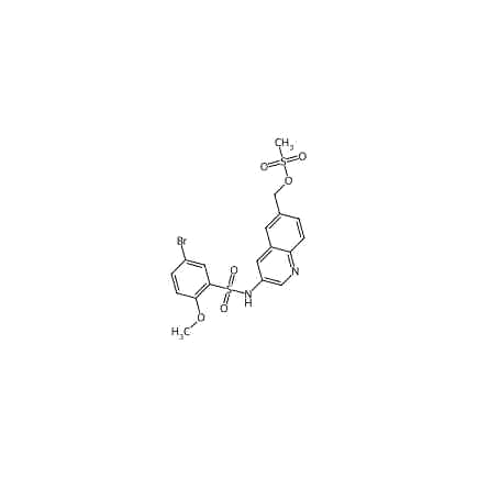 COc1ccc(Br)cc1S(=O)(=O)Nc1cnc2ccc(COS(C)(=O)=O)cc2c1